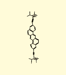 CC(C)[SiH](C#Cc1ccc2c(ccc3cc4c(ccc5cc(C#C[SiH](C(C)C)C(C)C)ccc54)cc32)c1)C(C)C